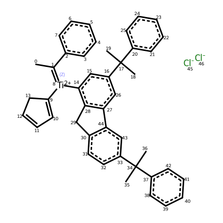 C/[C](c1ccccc1)=[Ti+2](\[C]1=CC=CC1)[c]1cc(C(C)(C)c2ccccc2)cc2c1Cc1ccc(C(C)(C)c3ccccc3)cc1-2.[Cl-].[Cl-]